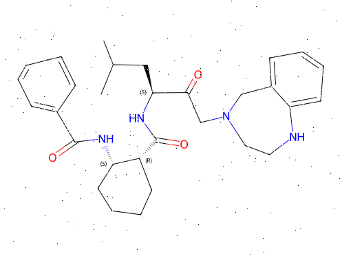 CC(C)C[C@H](NC(=O)[C@@H]1CCCC[C@@H]1NC(=O)c1ccccc1)C(=O)CN1CCNc2ccccc2C1